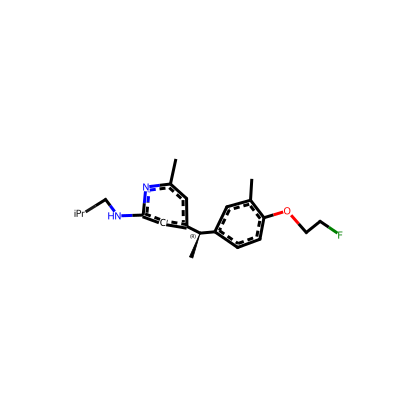 Cc1cc([C@H](C)c2ccc(OCCF)c(C)c2)cc(NCC(C)C)n1